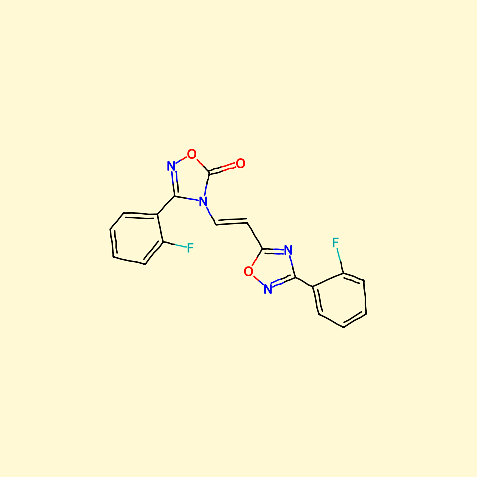 O=c1onc(-c2ccccc2F)n1C=Cc1nc(-c2ccccc2F)no1